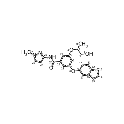 C[C@@H](CO)Oc1cc(Oc2ccc3sccc3c2)cc(C(=O)Nc2ccn(C)n2)c1